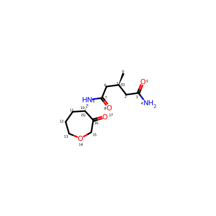 C[C@@H](CC(N)=O)CC(=O)N[C@H]1CCCOCC1=O